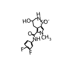 Cn1cc2c(c1C(=O)Nc1ccc(F)c(F)c1)CC(O)CN[S+]2[O-]